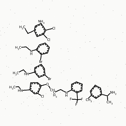 CCNc1ccc(OC)c(Cl)c1.CCNc1cccc(Br)c1.CCNc1ccccc1Br.CCNc1ccccc1C(F)(F)F.CCc1ccc(Cl)c(Cl)c1.Cc1cccc(C(C)N)c1.N